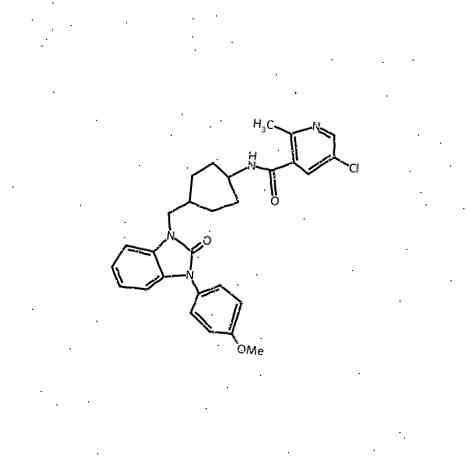 COc1ccc(-n2c(=O)n(CC3CCC(NC(=O)c4cc(Cl)cnc4C)CC3)c3ccccc32)cc1